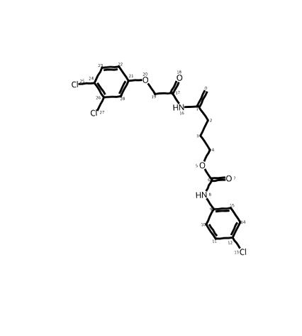 C=C(CCCOC(=O)Nc1ccc(Cl)cc1)NC(=O)COc1ccc(Cl)c(Cl)c1